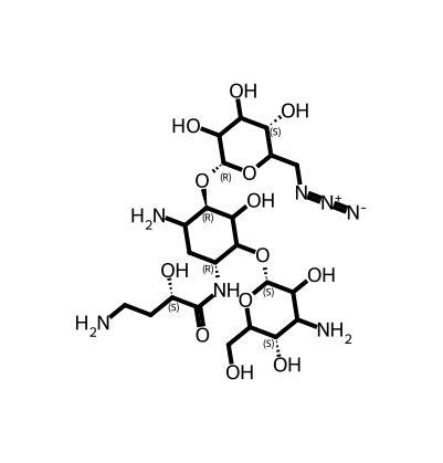 [N-]=[N+]=NCC1O[C@H](O[C@@H]2C(N)C[C@@H](NC(=O)[C@@H](O)CCN)C(O[C@H]3OC(CO)[C@@H](O)C(N)C3O)C2O)C(O)C(O)[C@@H]1O